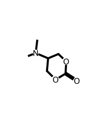 CN(C)C1COC(=O)OC1